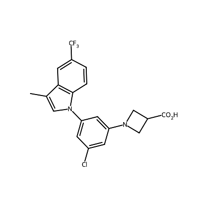 Cc1cn(-c2cc(Cl)cc(N3CC(C(=O)O)C3)c2)c2ccc(C(F)(F)F)cc12